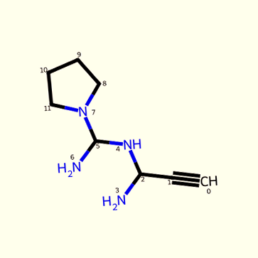 C#CC(N)NC(N)N1CCCC1